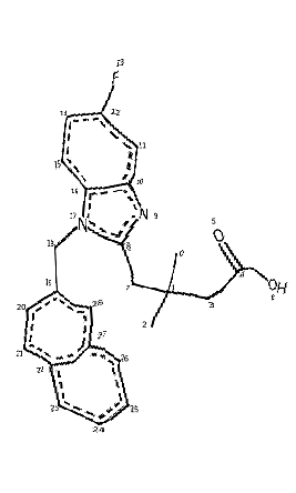 CC(C)(CC(=O)O)Cc1nc2cc(F)ccc2n1Cc1ccc2ccccc2c1